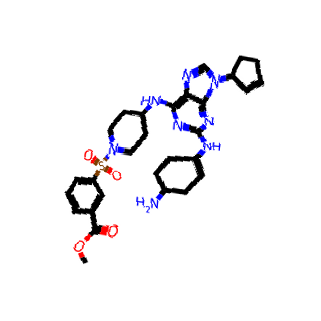 COC(=O)c1cccc(S(=O)(=O)N2CCC(Nc3nc(NC4CCC(N)CC4)nc4c3ncn4C3CCCC3)CC2)c1